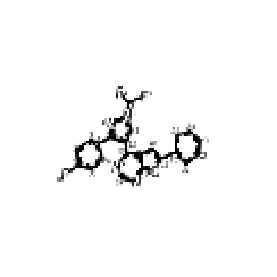 Fc1ccc(-c2nn(C(F)F)cc2-c2ncnc3oc(-c4ccccc4)cc23)cc1